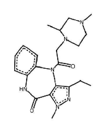 CCc1nn(C)c2c1N(C(=O)CN1CCN(C)CC1C)c1ccccc1NC2=O